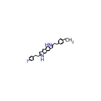 C=Cc1ccc(CCc2cc3cc4cc5[nH]c(CCc6ccc(I)cc6)cc5cc4cc3[nH]2)cc1